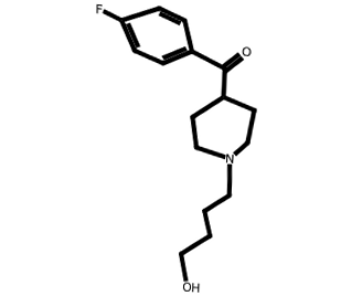 O=C(c1ccc(F)cc1)C1CCN(CCCCO)CC1